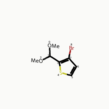 COC(OC)c1sccc1Br